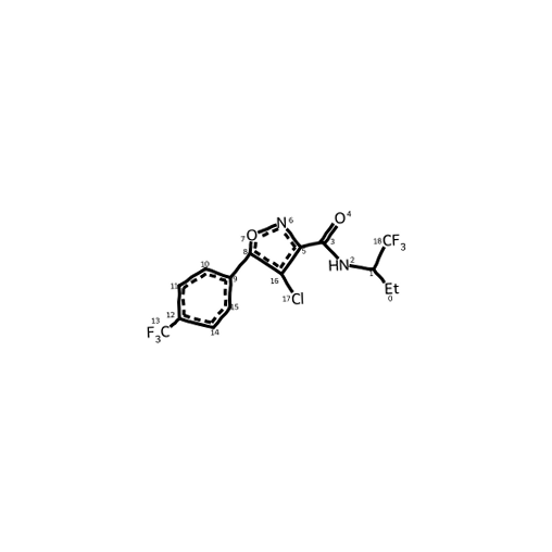 CCC(NC(=O)c1noc(-c2ccc(C(F)(F)F)cc2)c1Cl)C(F)(F)F